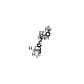 CCNCc1sc(C=CC(=O)NC(c2cccc(C(F)(F)F)c2)C(F)(F)F)cc1C